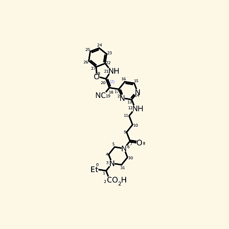 CCC(C(=O)O)N1CCN(C(=O)CCCNc2nccc(/C(C#N)=C3\Nc4ccccc4O3)n2)CC1